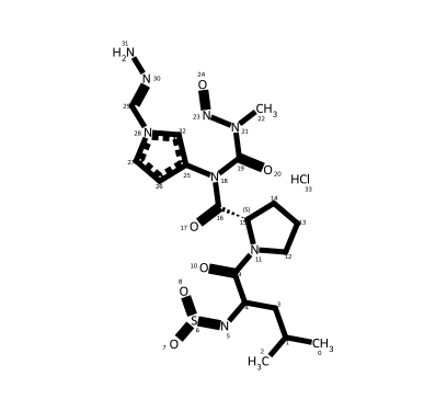 CC(C)CC(N=S(=O)=O)C(=O)N1CCC[C@H]1C(=O)N(C(=O)N(C)N=O)c1ccn(C=NN)c1.Cl